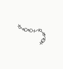 CC(C)(C)OCCN1CCC(N2CCC(C(C)(C)CCC(C)(C)OCCN3CC(CN4CCN(C(C)(C)C)CC4)C3)CC2)CC1